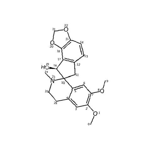 COc1cc2c(cc1OC)C1(Cc3ccc4c(c3[C@@H]1O)OCO4)N(C)CC2